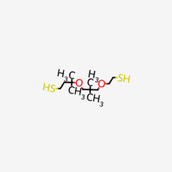 CC(C)(COCCS)COC(C)(C)CCS